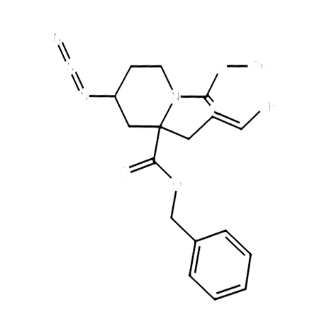 C/C=C/CC1(C(=O)OCc2ccccc2)CC(N=[N+]=[N-])CCN1C(=O)OC(C)(C)C